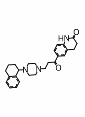 O=C1CCc2cc(C(=O)CCN3CCN(C4CCCc5ccccc54)CC3)ccc2N1